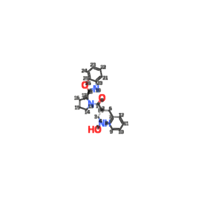 O=C([C@@H](CNO)Cc1ccccc1)N1CCC[C@H]1c1nc2ccccc2o1